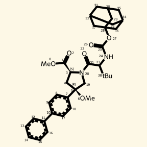 COC(=O)[C@@H]1C[C@@](OC)(c2ccc(-c3ccccc3)cc2)CN1C(=O)C(NC(=O)OC12CC3CC(CC(C3)C1)C2)C(C)(C)C